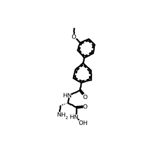 COc1cccc(-c2ccc(C(=O)N[C@@H](CN)C(=O)NO)cc2)c1